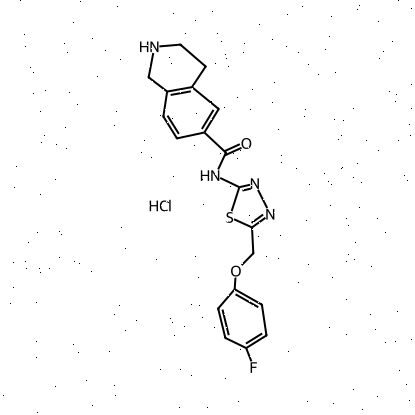 Cl.O=C(Nc1nnc(COc2ccc(F)cc2)s1)c1ccc2c(c1)CCNC2